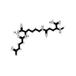 CNC(CCC(=O)NCCCCC(NC(=O)CCCC(C)=O)C(N)=O)C(=O)O